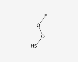 FOOS